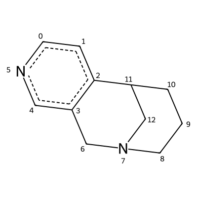 c1cc2c(cn1)CN1CCCC2C1